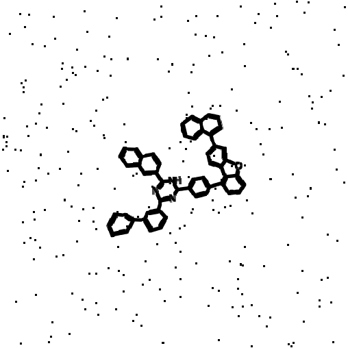 c1ccc(-c2cccc(C3=NC(c4ccc(-c5cccc6oc7cc(-c8cccc9ccccc89)ccc7c56)cc4)NC(c4ccc5ccccc5c4)=N3)c2)cc1